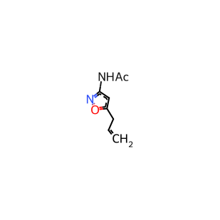 C=CCc1cc(NC(C)=O)no1